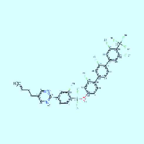 C=CCCc1cnc(-c2ccc(C(F)(F)Oc3ccc(-c4ccc(-c5cc(F)c(C(F)(F)F)c(F)c5)c(F)c4)c(F)c3)c(F)c2)nc1